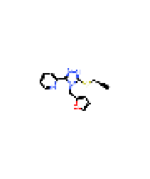 C#CCSc1nnc(-c2ccccn2)n1Cc1ccco1